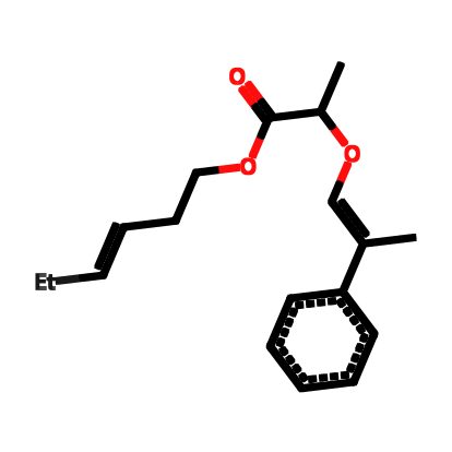 CCC=CCCOC(=O)C(C)OC=C(C)c1ccccc1